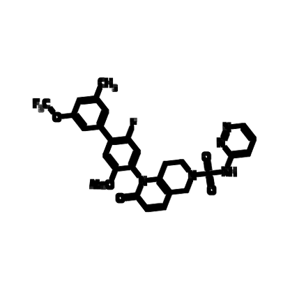 COc1cc(-c2cc(C)cc(OC(F)(F)F)c2)c(F)cc1-n1c2c(ccc1=O)CN(S(=O)(=O)Nc1cccnn1)CC2